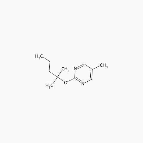 CCCC(C)(C)Oc1ncc(C)cn1